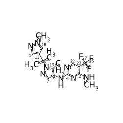 CNc1nc(Nc2cnn(C(C)(C)c3cnn(C)c3)c2C)ncc1C(F)(F)F